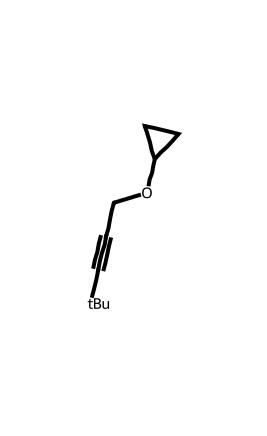 CC(C)(C)C#CCOC1CC1